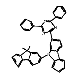 CC1(C)c2ccccc2-c2ccc(-n3c4ccccc4c4ccc(-c5nc(-c6ccccc6)nc(-c6ccccc6)n5)cc43)cc21